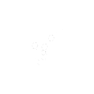 CCNC(=O)Nc1nc2c(F)c(-c3ccc(OC(CC)C(=O)O)cc3)cc(-c3ccccn3)c2s1